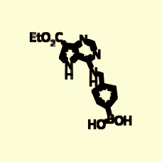 CCOC(=O)c1c[nH]c2c(NCc3ccc(B(O)O)cc3)ncnc12